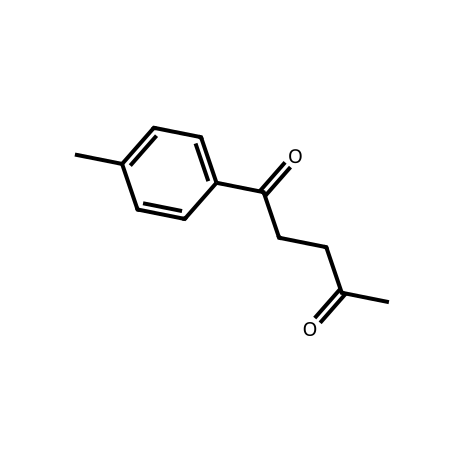 CC(=O)CCC(=O)c1ccc(C)cc1